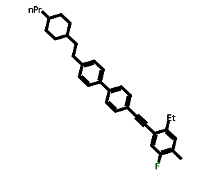 CCCC1CCC(CCc2ccc(-c3ccc(C#Cc4cc(F)c(C)cc4CC)cc3)cc2)CC1